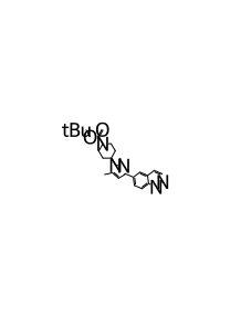 Cc1cc(-c2ccc3nnccc3c2)nn1C1CCN(C(=O)OC(C)(C)C)CC1